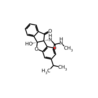 CNC(=O)N[C@@]12C(=O)c3ccccc3[C@]1(O)Oc1cc(C(C)C)ccc12